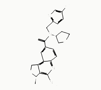 C[C@H]1OCc2c1c(N)nc1ccc(C(=O)N(Cc3ccc(C(F)(F)F)cn3)[C@H]3CCOC3)cc21